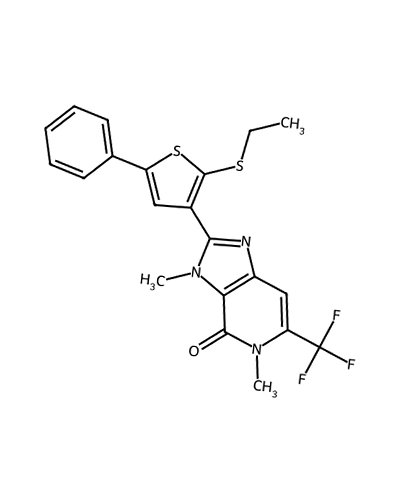 CCSc1sc(-c2ccccc2)cc1-c1nc2cc(C(F)(F)F)n(C)c(=O)c2n1C